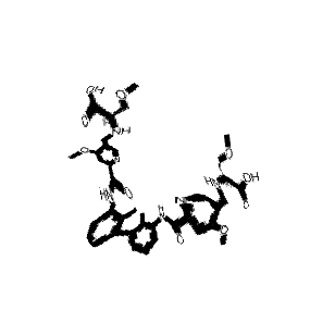 COC[C@@H](NCc1cnc(C(=O)Nc2cccc(-c3cccc(NC(=O)c4cc(OC)c(CN[C@H](COC)C(=O)O)cn4)c3C)c2C)cc1OC)C(=O)O